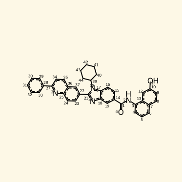 O=C(Nc1cccc2ccc(O)cc12)c1ccc2c(c1)nc(-c1ccc3nc(-c4ccccc4)ccc3c1)n2C1CCCCC1